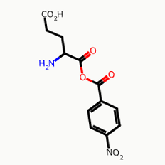 NC(CCC(=O)O)C(=O)OC(=O)c1ccc([N+](=O)[O-])cc1